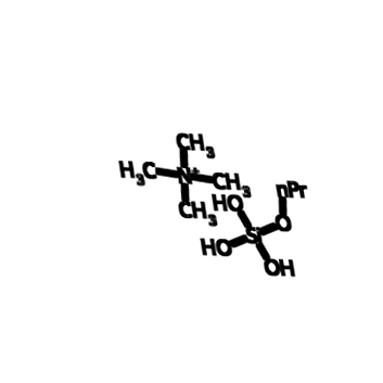 CCCO[Si](O)(O)O.C[N+](C)(C)C